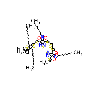 CCCCCCCCCCCCc1c2cc(C(C)(C)C)sc2c(CCCCCCCCCCCC)c2cc(-c3ccc(-c4c5c(c(-c6ccc(-c7ccc(-c8ccc(-c9c%10c(c(-c%11ccc(C)s%11)c%11nsnc9%11)C(=O)N(CCCCCCCCCCCC)C%10=O)s8)s7)s6)c6nsnc46)C(=O)N(CCCCCCCCCCCC)C5=O)s3)sc12